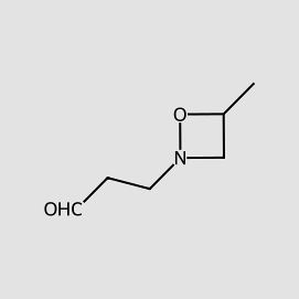 CC1CN(CCC=O)O1